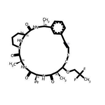 CC(C)[C@@H]1NC(=O)[C@H](C)C(OCC(C)(F)F)CC/C=C/c2cccc(c2)[C@@H](C)NC(=O)[C@@H]2CCCN(N2)C(=O)[C@H](C)NC1=O